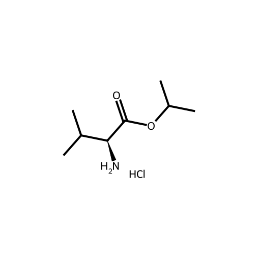 CC(C)OC(=O)[C@@H](N)C(C)C.Cl